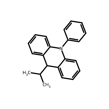 CC(C)C1c2ccccc2N(c2ccccc2)c2ccccc21